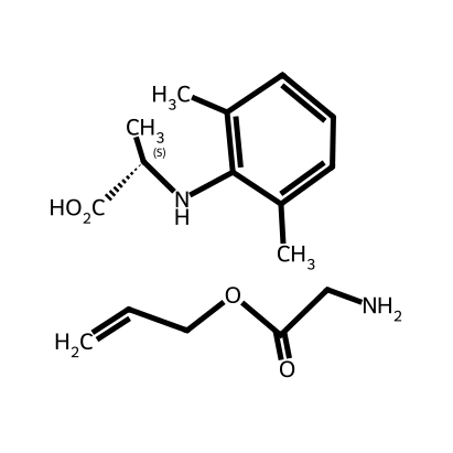 C=CCOC(=O)CN.Cc1cccc(C)c1N[C@@H](C)C(=O)O